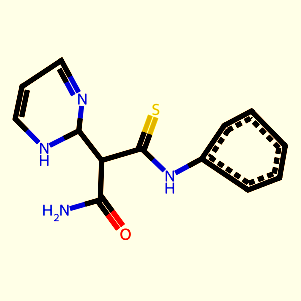 NC(=O)C(C(=S)Nc1ccccc1)C1N=CC=CN1